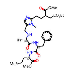 CCOC(=O)CC(CCc1ncc(CN[C@H](C(=O)N[C@@H](Cc2ccccc2)C(=O)N[C@@H](CCSC)C(=O)OC)C(C)C)n1C)C(=O)OC